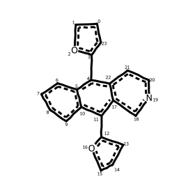 c1coc(-c2c3ccccc3c(-c3ccco3)c3cnccc23)c1